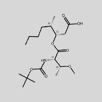 CCCC[C@H](C)[C@H](CC(=O)O)OC(=O)[C@@H](NC(=O)OC(C)(C)C)[C@@H](C)OC